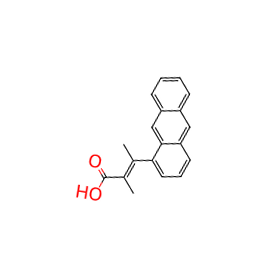 C/C(C(=O)O)=C(/C)c1cccc2cc3ccccc3cc12